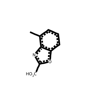 Cc1cccc2oc(C(=O)O)nc12